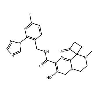 CN1CCN2CC(O)=C(C(=O)NCc3ccc(F)cc3-n3cncn3)N=C2C12CCC2=O